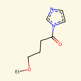 CCOCCCC(=O)n1ccnc1